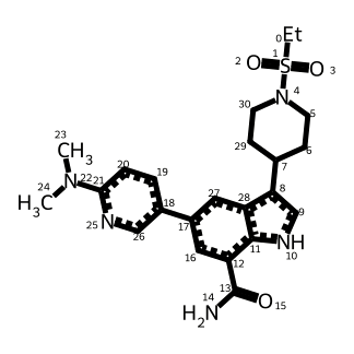 CCS(=O)(=O)N1CCC(c2c[nH]c3c(C(N)=O)cc(-c4ccc(N(C)C)nc4)cc23)CC1